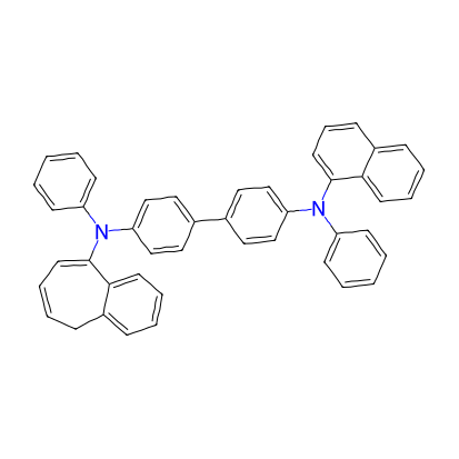 C1=CCc2ccccc2C(N(c2ccccc2)c2ccc(-c3ccc(N(c4ccccc4)c4cccc5ccccc45)cc3)cc2)=C1